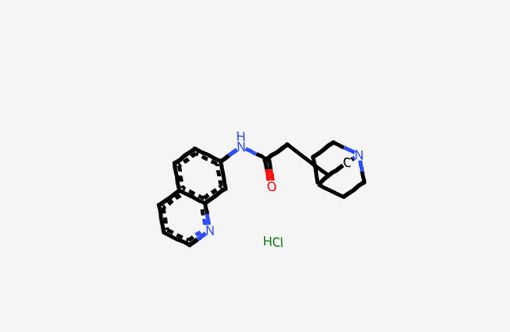 Cl.O=C(CC1CN2CCC1CC2)Nc1ccc2cccnc2c1